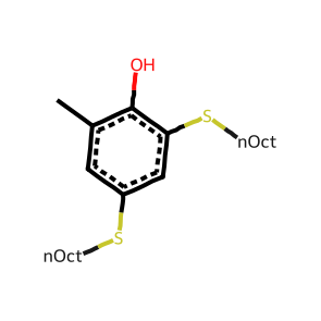 CCCCCCCCSc1cc(C)c(O)c(SCCCCCCCC)c1